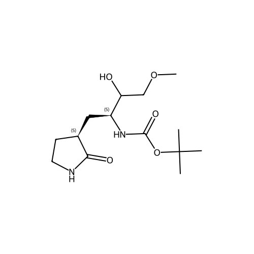 COCC(O)[C@H](C[C@@H]1CCNC1=O)NC(=O)OC(C)(C)C